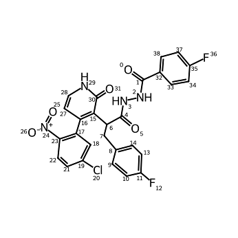 O=C(NNC(=O)C(Cc1ccc(F)cc1)c1c(-c2cc(Cl)ccc2[N+](=O)[O-])cc[nH]c1=O)c1ccc(F)cc1